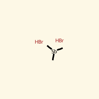 Br.Br.[CH3][Sb]([CH3])[CH3]